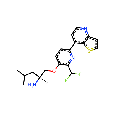 CC(C)C[C@](C)(N)COc1ccc(-c2ccnc3ccsc23)nc1C(F)F